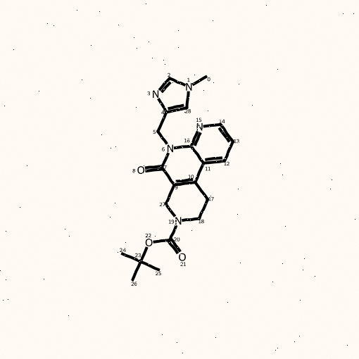 Cn1cnc(Cn2c(=O)c3c(c4cccnc42)CCN(C(=O)OC(C)(C)C)C3)c1